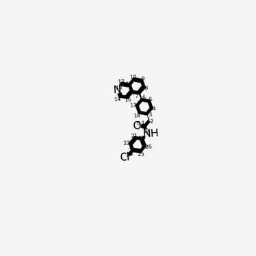 O=C(C[C@H]1CC[C@H](c2cccc3cnccc32)CC1)Nc1ccc(Cl)cc1